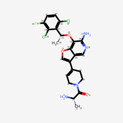 C[C@H](N)C(=O)N1CC=C(c2coc3c(O[C@H](C)c4c(Cl)ccc(F)c4Cl)c(N)ncc23)CC1